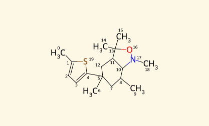 Cc1ccc(C2(C)CC(C)C3C(C2)C(C)(C)ON3C)s1